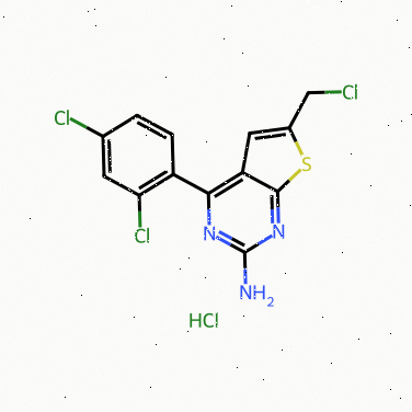 Cl.Nc1nc(-c2ccc(Cl)cc2Cl)c2cc(CCl)sc2n1